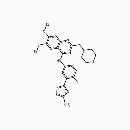 CCOc1cc2nc(CN3CCSCC3)nc(Nc3ccc(F)c(-c4csc(C)n4)c3)c2cc1OCC